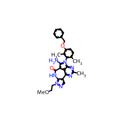 COCCn1ncc2c1NC(=O)c1c(N)n(-c3c(C)ccc(OCc4ccccc4)c3C)c3nc(C)nc-2c13